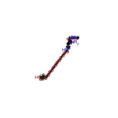 CCCN(OCCNC(=O)NC1CCC1)C(=O)C1=Cc2ccc(-c3cnc(CNC(=O)CCOCCOCCOCCOCCOCCOCCOCCOCCOCCOCCC(=O)Oc4c(F)c(F)c(S(=O)O)c(F)c4F)nc3)cc2N=C(N)C1